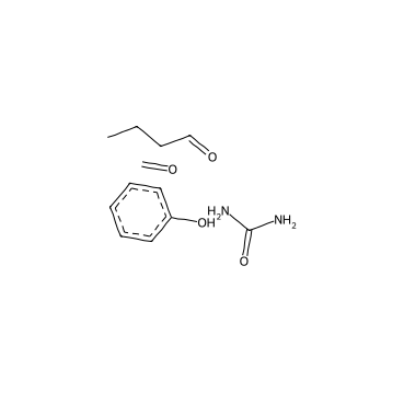 C=O.CCCC=O.NC(N)=O.Oc1ccccc1